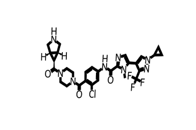 Cn1c(-c2cn(C3CC3)nc2C(F)(F)F)cnc1C(=O)Nc1ccc(C(=O)N2CCN(C(=O)[C@H]3[C@@H]4CNC[C@@H]43)CC2)c(Cl)c1